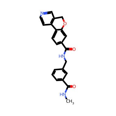 CNC(=O)c1cccc(CNC(=O)c2ccc3c(c2)OCc2cnccc2-3)c1